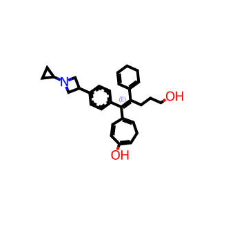 OCCC/C(C1=CCCC=C1)=C(\C1=CCC=C(O)C=C1)c1ccc(C2CN(C3CC3)C2)cc1